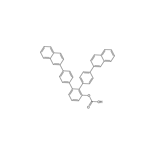 O=C(O)Oc1cccc(-c2ccc(-c3ccc4ccccc4c3)cc2)c1-c1ccc(-c2ccc3ccccc3c2)cc1